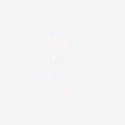 CCCNC(=O)S(=O)(=O)c1ccccc1-c1ccc(Cn2c(CCC)nc(C)c2C(O)=S)cc1